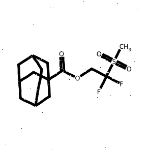 CS(=O)(=O)C(F)(F)COC(=O)C12CC3CC(CC(C3)C1)C2